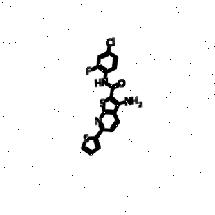 Nc1c(C(=O)Nc2ccc(Cl)cc2F)sc2nc(-c3cccs3)ccc12